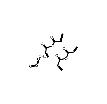 C=CC(=O)OC(=O)C=C.C=CC(=O)OC(=O)C=C.O.O=S=O